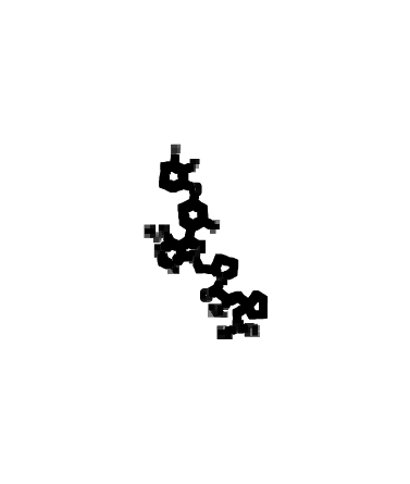 CCN(CC)CC1(C=C(C#N)C(=O)N2CCCC2Cn2nc(-c3ccc(Oc4cccc(F)c4F)cc3F)c3c(N)ncnc32)CCCC1